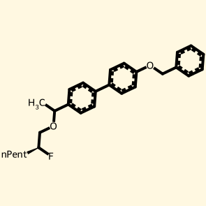 CCCCC[C@H](F)COC(C)c1ccc(-c2ccc(OCc3ccccc3)cc2)cc1